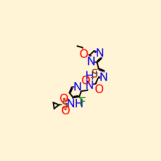 CCOc1cncc(-c2cnc(C(=O)[NH+]([O-])Cc3nccc(NS(=O)(=O)C4CC4)c3F)s2)n1